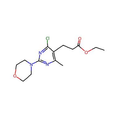 CCOC(=O)CCc1c(C)nc(N2CCOCC2)nc1Cl